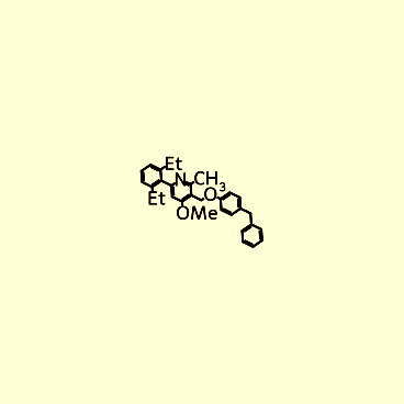 CCc1cccc(CC)c1-c1cc(OC)c(COc2ccc(Cc3ccccc3)cc2)c(C)n1